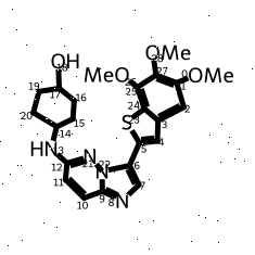 COc1cc2cc(-c3cnc4ccc(NC5CCC(O)CC5)nn34)sc2c(OC)c1OC